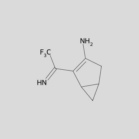 N=C(C1=C(N)CC2CC12)C(F)(F)F